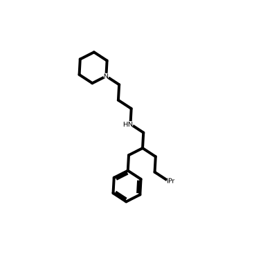 CC(C)CCC(CNCCCN1CCCCC1)Cc1ccccc1